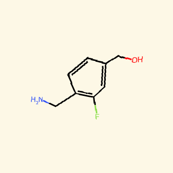 NCc1ccc(CO)cc1F